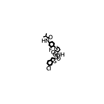 CC(C)C(=O)Nc1ccc(N2CC[C@H](NS(=O)(=O)c3cc4ccc(Cl)cc4s3)C2=O)c(F)c1